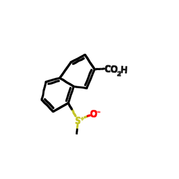 C[S+]([O-])c1cccc2ccc(C(=O)O)cc12